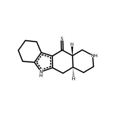 S=C1c2c([nH]c3c2CCCC3)C[C@@H]2CCNC[C@@H]12